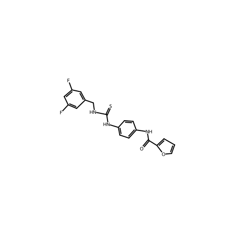 O=C(Nc1ccc(NC(=S)NCc2cc(F)cc(F)c2)cc1)c1ccco1